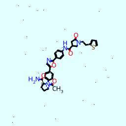 CC(=O)[N+]1(c2ccc(-c3cnc(-c4ccc(NC(=O)C5CC(=O)N(CCc6cccs6)C5)cc4)o3)cc2)CCC[C@H]1C(N)=O